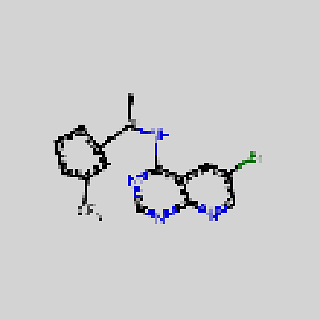 C[C@@H](Nc1ncnc2ncc(Br)cc12)c1cccc(C(F)(F)F)c1